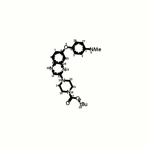 CNc1ccc(Oc2ccc3ncc(N4CCN(C(=O)OC(C)(C)C)CC4)nc3c2)cc1